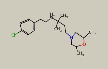 CC1CN(CCC(C)(C)[SiH2]CCc2ccc(Cl)cc2)CC(C)O1